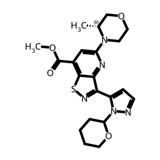 COC(=O)c1cc(N2CCOC[C@H]2C)nc2c(-c3ccnn3C3CCCCO3)nsc12